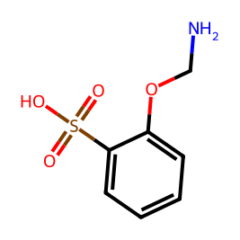 NCOc1ccccc1S(=O)(=O)O